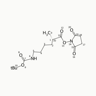 C[C@@H](CCCCNC(=O)OC(C)(C)C)C(=O)ON1C(=O)CCC1=O